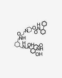 O=C(CCN1CCC(OC(=O)Nc2ccccc2-c2ccccc2)CC1)NCC1CCCC(CNC[C@@H](O)c2ccc(O)c3[nH]c(=O)ccc23)C1